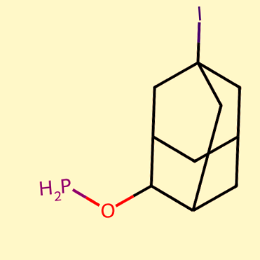 POC1C2CC3CC1CC(I)(C3)C2